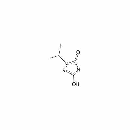 CC(I)n1sc(O)nc1=O